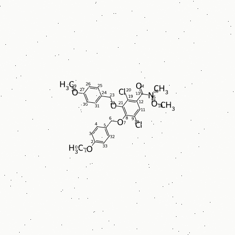 COc1ccc(COc2c(Cl)cc(C(=O)N(C)OC)c(Cl)c2OCc2ccc(OC)cc2)cc1